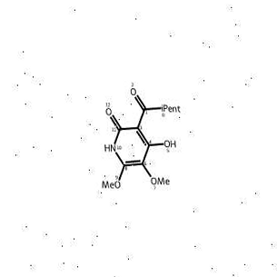 CCCC(C)C(=O)c1c(O)c(OC)c(OC)[nH]c1=O